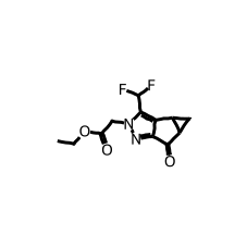 CCOC(=O)Cn1nc2c(c1C(F)F)C1CC1C2=O